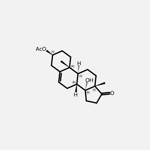 CC(=O)O[C@H]1CC[C@@]2(C)C(=CC[C@@H]3[C@@H]2CC[C@]2(C)C(=O)CC[C@@]32O)C1